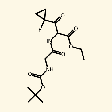 CCOC(=O)C(NC(=O)CNC(=O)OC(C)(C)C)C(=O)C1(F)CC1